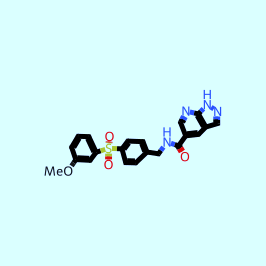 COc1cccc(S(=O)(=O)c2ccc(CNC(=O)c3cnc4[nH]ncc4c3)cc2)c1